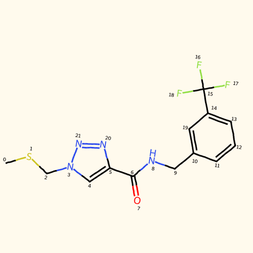 CSCn1cc(C(=O)NCc2cccc(C(F)(F)F)c2)nn1